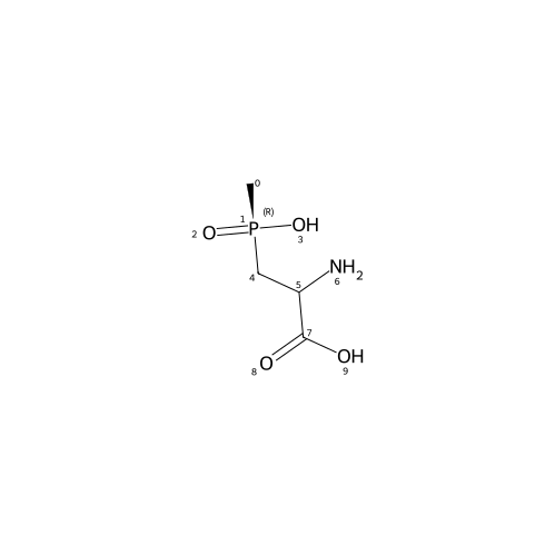 C[P@@](=O)(O)CC(N)C(=O)O